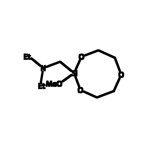 CCN(CC)C[Si]1(OC)OCCOCCO1